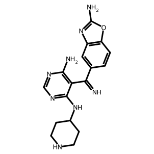 N=C(c1ccc2oc(N)nc2c1)c1c(N)ncnc1NC1CCNCC1